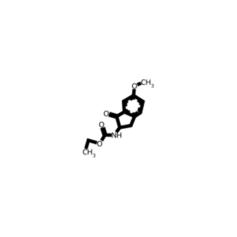 CCOC(=O)NC1Cc2ccc(OC)cc2C1=O